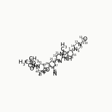 COc1cc(N2CCN(C3COC3)CC2)ccc1Nc1nccc(-c2ccc(OC3CCN(C(=O)OC(C)(C)C)CC3(F)F)c(C#N)c2)n1